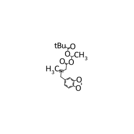 CC(OC(=O)C[C@H](C)Cc1ccc2c(c1)OCO2)OC(=O)C(C)(C)C